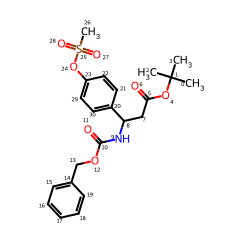 CC(C)(C)OC(=O)CC(NC(=O)OCc1ccccc1)c1ccc(OS(C)(=O)=O)cc1